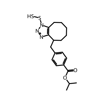 CC(C)OC(=O)c1ccc(CC2CCCCCc3c2nnn3SS)cc1